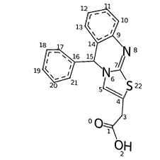 O=C(O)CC1=CN2C(=Nc3ccccc3C2c2ccccc2)S1